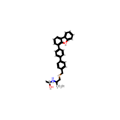 CCOC(=O)C(CSCc1ccc(-c2ccc(-c3cccc4c3oc3ccccc34)cc2)cc1)NB(C)O